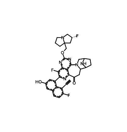 C#Cc1c(F)ccc2cc(O)cc(-c3nc4c5c(nc(OCC67CCCN6C[C@H](F)C7)nc5c3F)N3CC5CCC(N5)C3CC4=O)c12